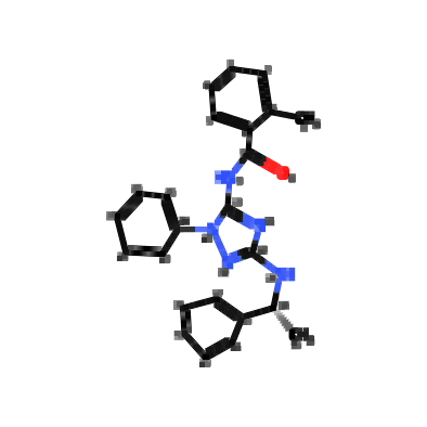 Cc1ccccc1C(=O)Nc1nc(N[C@H](C)c2ccccc2)nn1-c1ccccc1